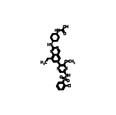 CCc1cc(-c2ncc(NS(=O)(=O)c3ccccc3Cl)nc2OC)cc2cnc(N[C@H]3CC[C@H](NC(=O)O)CC3)nc12